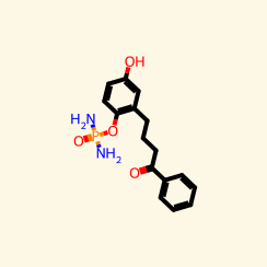 NP(N)(=O)Oc1ccc(O)cc1CCCC(=O)c1ccccc1